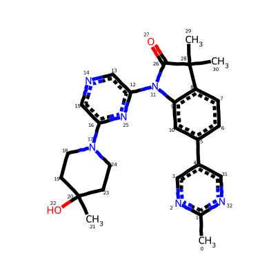 Cc1ncc(-c2ccc3c(c2)N(c2cncc(N4CCC(C)(O)CC4)n2)C(=O)C3(C)C)cn1